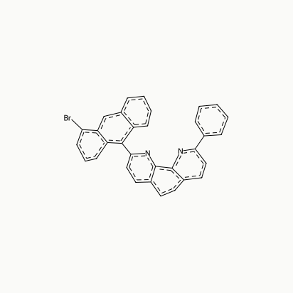 Brc1cccc2c(-c3ccc4ccc5ccc(-c6ccccc6)nc5c4n3)c3ccccc3cc12